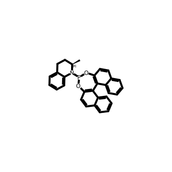 C[C@@H]1CCc2ccccc2N1p1oc2ccc3ccccc3c2c2c(ccc3ccccc32)o1